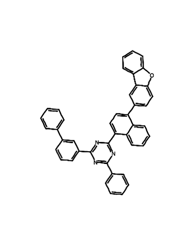 c1ccc(-c2cccc(-c3nc(-c4ccccc4)nc(-c4ccc(-c5ccc6oc7ccccc7c6c5)c5ccccc45)n3)c2)cc1